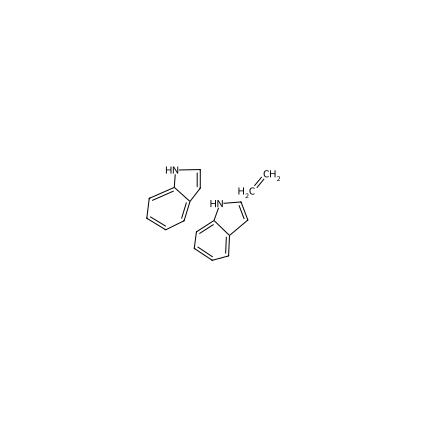 C=C.c1ccc2[nH]ccc2c1.c1ccc2[nH]ccc2c1